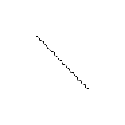 CCCCCCCCCCCC[CH]CCCCCCCCCCCCCCC